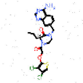 CCC[C@H]1C(=O)N(Cc2ccc3c(N)ncnc3c2)CCN1C(=O)COc1scc(Cl)c1Cl